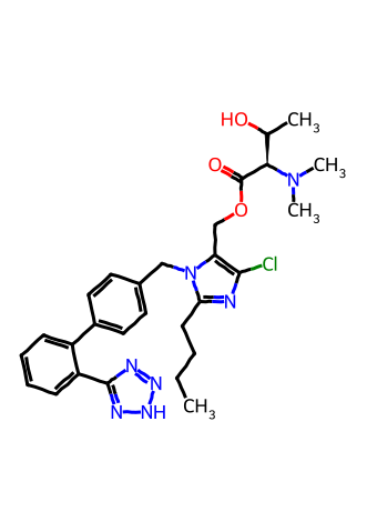 CCCCc1nc(Cl)c(COC(=O)[C@@H](C(C)O)N(C)C)n1Cc1ccc(-c2ccccc2-c2nn[nH]n2)cc1